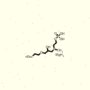 CCCCCCCCCCCCOCC(O)CN(C)CCOP(=O)(O)O.[MgH2]